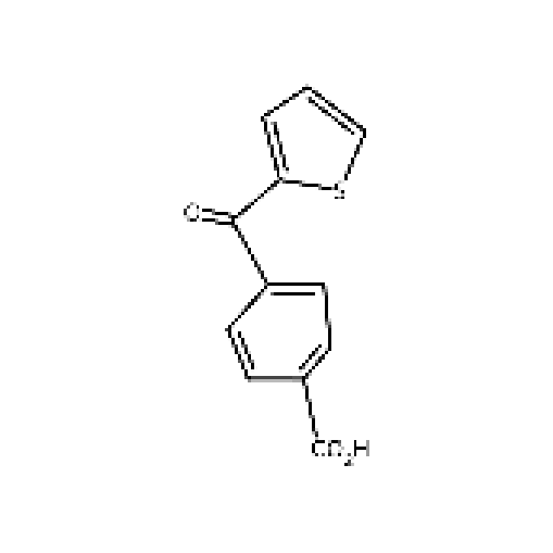 O=C(O)c1ccc(C(=O)c2cccs2)cc1